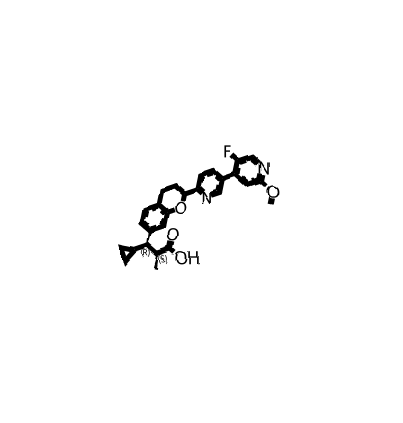 COc1cc(-c2ccc(C3CCc4ccc([C@H](C5CC5)[C@H](C)C(=O)O)cc4O3)nc2)c(F)cn1